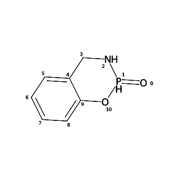 O=[PH]1NCc2ccccc2O1